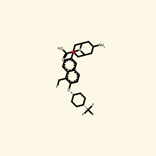 NC1CC2CC(C(=O)O)CC(C1)N2Cc1ccc2c(CF)c(O[C@H]3CC[C@@H](C(F)(F)F)CC3)ccc2c1